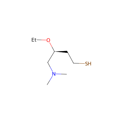 CCO[C@@H](CCS)CN(C)C